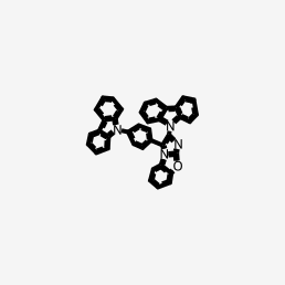 c1ccc2c(c1)oc1nc(-n3c4ccccc4c4ccccc43)c(-c3ccc(-n4c5ccccc5c5ccccc54)cc3)n12